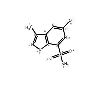 Cc1n[nH]c2c(S(N)(=O)=O)nc(O)cc12